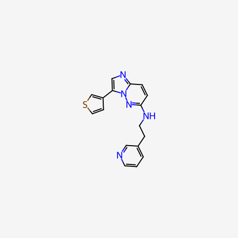 c1cncc(CCNc2ccc3ncc(-c4ccsc4)n3n2)c1